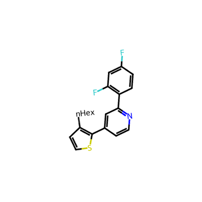 CCCCCCc1ccsc1-c1ccnc(-c2ccc(F)cc2F)c1